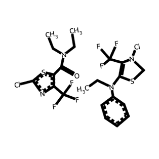 CCN(C1=C(C(F)(F)F)N(Cl)CS1)c1ccccc1.CCN(CC)C(=O)c1sc(Cl)nc1C(F)(F)F